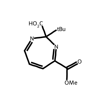 COC(=O)C1=NC(C(=O)O)(C(C)(C)C)N=CC=C1